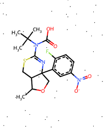 CC1OCC2(c3cc([N+](=O)[O-])ccc3F)N=C(N(C(=O)O)C(C)(C)C)SCC12